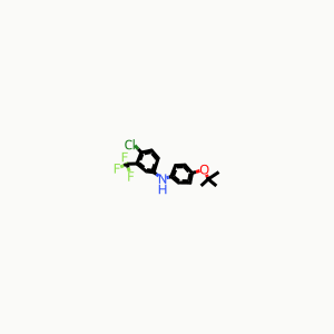 CC(C)(C)Oc1ccc(Nc2ccc(Cl)c(C(F)(F)F)c2)cc1